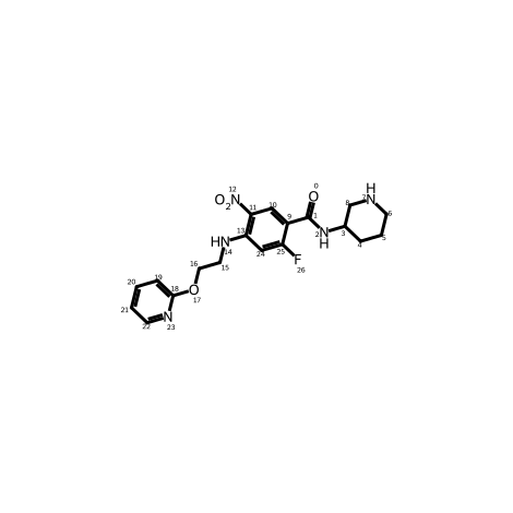 O=C(NC1CCCNC1)c1cc([N+](=O)[O-])c(NCCOc2ccccn2)cc1F